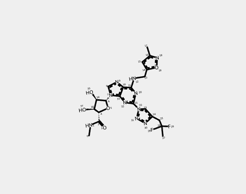 CNC(=O)[C@H]1O[C@@H](n2cnc3c(NCc4cc(C)no4)nc(-n4cc(CC(C)(F)F)nn4)nc32)[C@H](O)[C@@H]1O